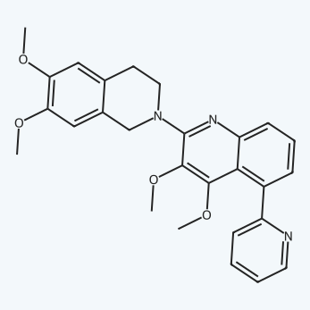 COc1cc2c(cc1OC)CN(c1nc3cccc(-c4ccccn4)c3c(OC)c1OC)CC2